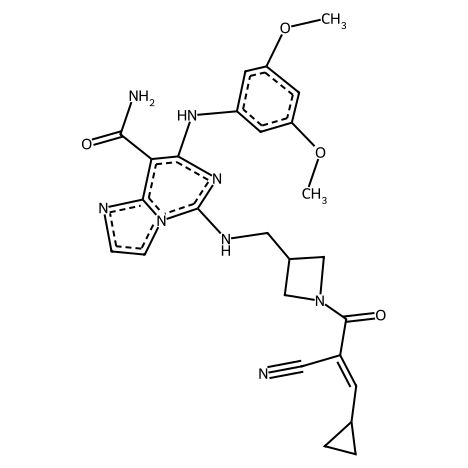 COc1cc(Nc2nc(NCC3CN(C(=O)C(C#N)=CC4CC4)C3)n3ccnc3c2C(N)=O)cc(OC)c1